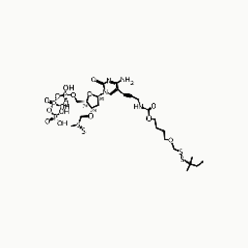 CCC(C)(C)SSCOCCCCOC(=O)NCC#Cc1cn([C@H]2C[C@H](OCS(C)=S)[C@@H](COP(=O)(O)OP(=O)(O)OP(=O)(O)O)O2)c(=O)nc1N